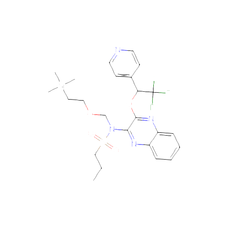 CCCS(=O)(=O)N(COCC[Si](C)(C)C)c1nc2ccccc2nc1OC(c1ccncc1)C(F)(F)F